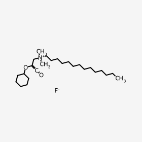 CCCCCCCCCCCCCC[N+](C)(C)CC(=C=O)OC1CCCCC1.[F-]